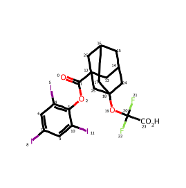 O=C(Oc1c(I)cc(I)cc1I)C12CC3CC(CC(OC(F)(F)C(=O)O)(C3)C1)C2